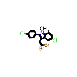 Cn1c(-c2ccc(Cl)cc2)c(C=C(Br)Br)c2cc(Cl)ccc21